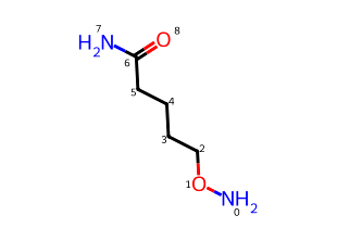 NOCCCCC(N)=O